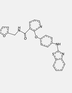 O=C(NCc1ccco1)c1cccnc1Oc1ccc(Nc2nc3ccccc3s2)cc1